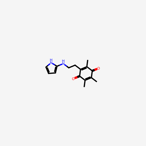 CC1=C(C)C(=O)C(CCNc2ccc[nH]2)=C(C)C1=O